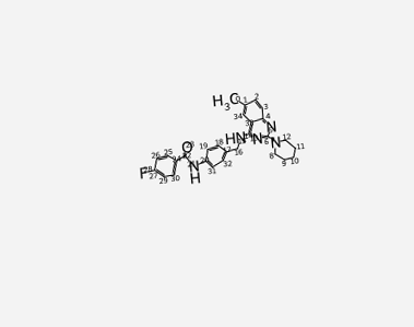 Cc1ccc2nc(N3CCCCC3)nc(NCc3ccc(NC(=O)c4ccc(F)cc4)cc3)c2c1